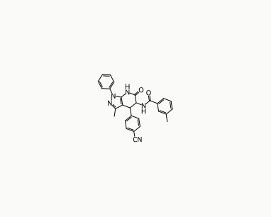 Cc1cccc(C(=O)NC2C(=O)Nc3c(c(C)nn3-c3ccccc3)C2c2ccc(C#N)cc2)c1